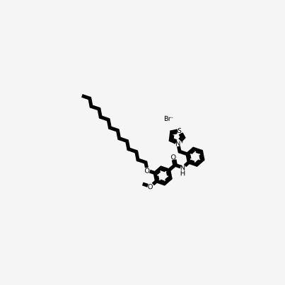 CCCCCCCCCCCCCCOc1cc(C(=O)Nc2ccccc2C[n+]2ccsc2)ccc1OC.[Br-]